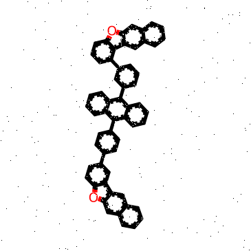 c1cc(-c2c3ccccc3c(-c3ccc(-c4ccc5oc6cc7ccccc7cc6c5c4)cc3)c3ccccc23)cc(-c2cccc3oc4cc5ccccc5cc4c23)c1